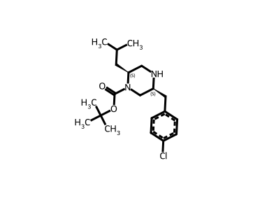 CC(C)C[C@H]1CN[C@@H](Cc2ccc(Cl)cc2)CN1C(=O)OC(C)(C)C